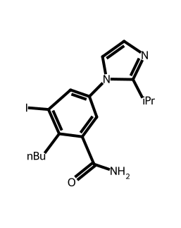 CCCCc1c(I)cc(-n2ccnc2C(C)C)cc1C(N)=O